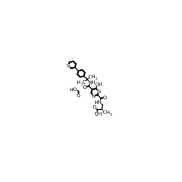 CC(CNC(=O)c1ncc(C(=O)NC(C)(C)c2ccc(-c3cccnc3)cc2)c(O)n1)C(=O)O.O=CO